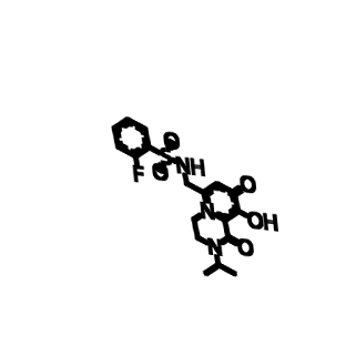 CC(C)N1CCn2c(CNS(=O)(=O)c3ccccc3F)cc(=O)c(O)c2C1=O